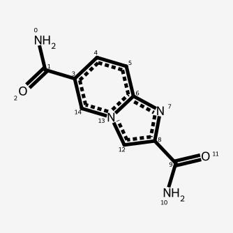 NC(=O)c1ccc2nc(C(N)=O)cn2c1